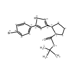 CC(C)(C)OC(=O)N1CCC[C@@H]1c1cc(-c2ccc(Br)cc2)[nH]n1